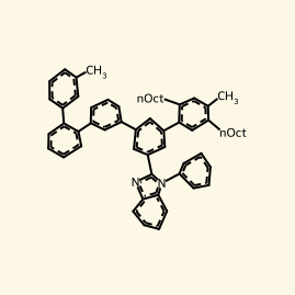 CCCCCCCCc1cc(-c2cc(-c3cccc(-c4ccccc4-c4cccc(C)c4)c3)cc(-c3nc4ccccc4n3-c3ccccc3)c2)c(CCCCCCCC)cc1C